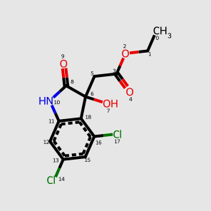 CCOC(=O)CC1(O)C(=O)Nc2cc(Cl)cc(Cl)c21